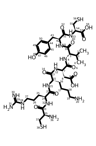 CC(C)[C@H](NC(=O)[C@H](CC(=O)O)NC(=O)[C@H](CCCCN)NC(=O)[C@H](CCCNC(=N)N)NC(=O)[C@@H](N)CS)C(=O)N[C@@H](Cc1ccc(O)cc1)C(=O)N[C@@H](CS)C(=O)O